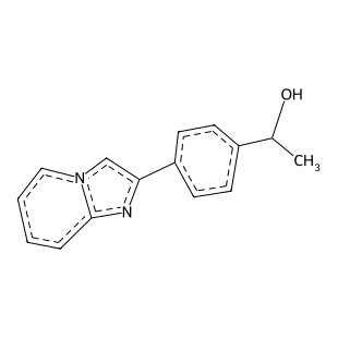 CC(O)c1ccc(-c2cn3ccccc3n2)cc1